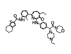 CCc1ccc(-c2cccc(NC(=O)c3cc4c(s3)CCCC4)c2C)nc(Nc2ccc(C(C(=O)N3CCOCC3)N3CCN(CC)CC3)cc2)c1=O